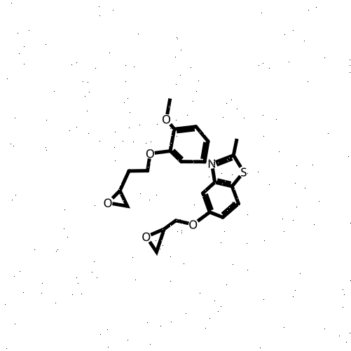 COc1ccccc1OCCC1CO1.Cc1nc2cc(OCC3CO3)ccc2s1